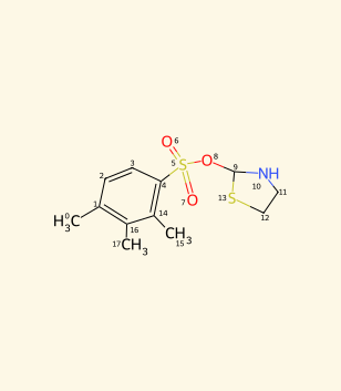 Cc1ccc(S(=O)(=O)OC2NCCS2)c(C)c1C